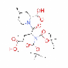 C[C@@H]1CCN(C(=O)[C@H](CCC(=O)O)N(C(=O)OC(C)(C)C)C(=O)OC(C)(C)C)[C@@H](C(=O)O)C1